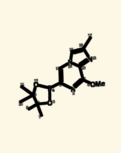 COc1nc(B2OC(C)(C)C(C)(C)O2)cn2cc(C)nc12